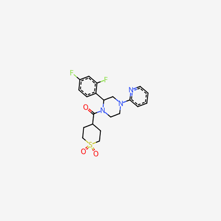 O=C(C1CCS(=O)(=O)CC1)N1CCN(c2ccccn2)CC1c1ccc(F)cc1F